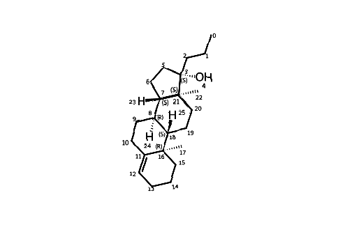 CCC[C@]1(O)CC[C@H]2[C@@H]3CCC4=CCCC[C@]4(C)[C@H]3CC[C@@]21C